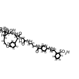 CC(C)C[C@H]1C(=O)N[C@H](C(=O)NCC(=O)NCCCNC(=O)c2ccc(N/N=C/c3ccccc3S(=O)(=O)O)nc2)Cc2ccc(cc2)OCCC[C@@H]1C(=O)NO